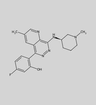 Cc1cnc2c(N[C@@H]3CCCN(C)C3)nnc(-c3ccc(F)cc3O)c2c1